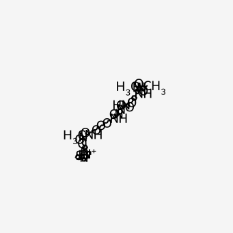 CCCn1c(=O)c2[nH]c(-c3ccc(OCC(=O)NCC(=O)N4CCN(CC(=O)NCCCOCCOCCOCCCNC(=O)CN(C)C(=O)COc5ccc(C6=[N+]7C(=Cc8ccc(C9CC=CS9)n8[B-]7(F)F)C=C6)cc5)CC4)cc3)cc2n(C)c1=O